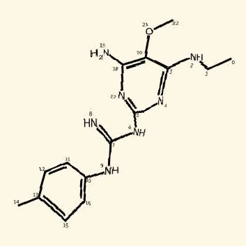 CCNc1nc(NC(=N)Nc2ccc(C)cc2)nc(N)c1OC